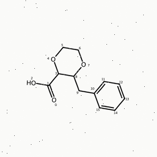 O=C(O)C1OCCOC1Cc1ccccc1